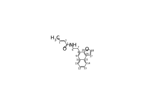 CC=CC(=O)NCCc1cc2ccccc2c2ccoc12